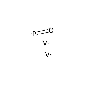 O=[P].[V].[V]